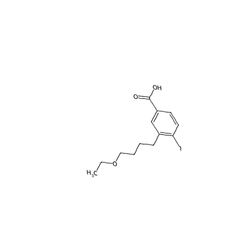 CCOCCCCc1cc(C(=O)O)ccc1I